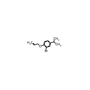 C=CCOc1ccc([C](C)C)cc1Br